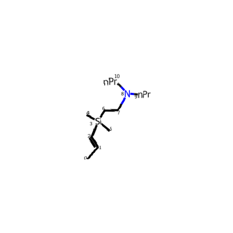 CC=C[Si](C)(C)CCN(CCC)CCC